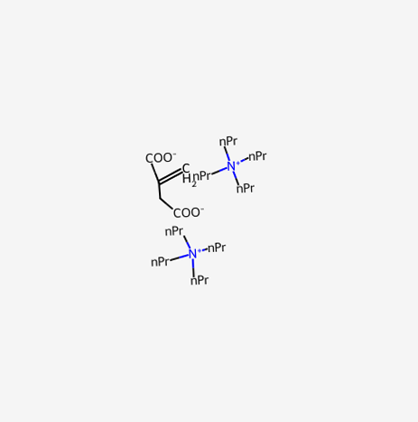 C=C(CC(=O)[O-])C(=O)[O-].CCC[N+](CCC)(CCC)CCC.CCC[N+](CCC)(CCC)CCC